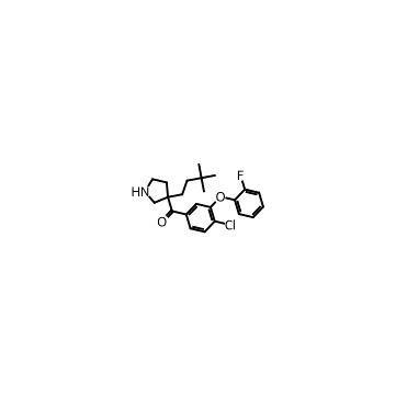 CC(C)(C)CCC1(C(=O)c2ccc(Cl)c(Oc3ccccc3F)c2)CCNC1